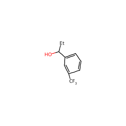 CCC(O)c1cccc(C(F)(F)F)c1